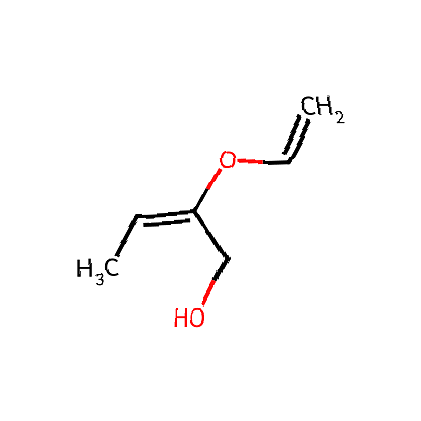 C=COC(=CC)CO